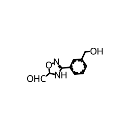 O=CC1NC(c2cccc(CO)c2)=NO1